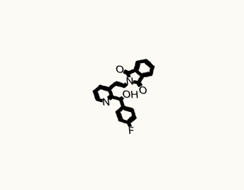 O=C1c2ccccc2C(=O)N1C=Cc1cccnc1C(O)c1ccc(F)cc1